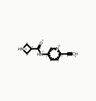 C#Cc1ccc(NC(=O)C2CNC2)cn1